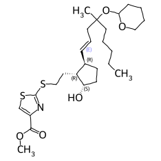 CCCCCC(C)(C/C=C/[C@H]1CC[C@H](O)[C@@H]1CCSc1nc(C(=O)OC)cs1)OC1CCCCO1